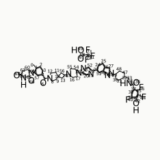 Cc1ccc(C(=O)N2CCC3(CC2)CC(N2CCN(c4cnc(-c5ccc6cn(C7CCC(CNC(=O)c8cc(F)c(O)c(F)c8F)CC7)nc6c5)cn4)CC2)C3)cc1N1CCC(=O)NC1=O.O=C(O)C(F)(F)F